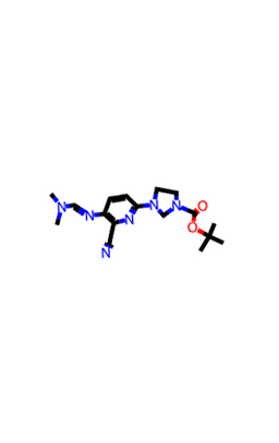 CN(C)C=Nc1ccc(N2CCN(C(=O)OC(C)(C)C)C2)nc1C#N